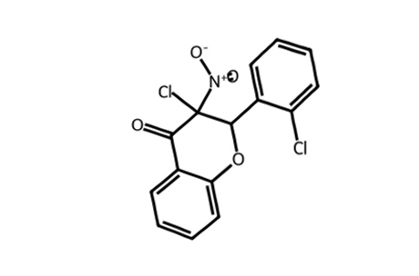 O=C1c2ccccc2OC(c2ccccc2Cl)C1(Cl)[N+](=O)[O-]